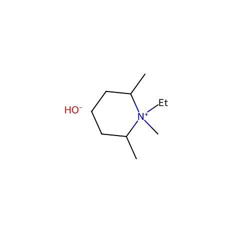 CC[N+]1(C)C(C)CCCC1C.[OH-]